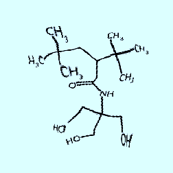 CC(C)(C)CC(C(=O)NC(CO)(CO)CO)C(C)(C)C